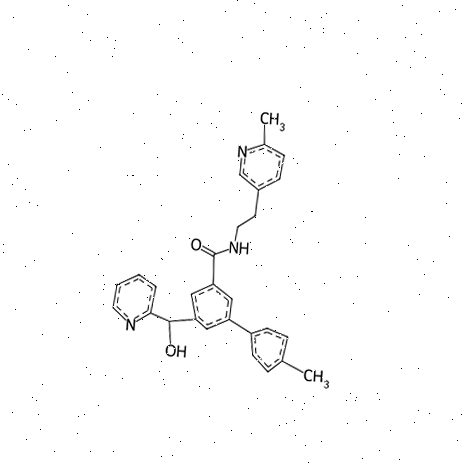 Cc1ccc(-c2cc(C(=O)NCCc3ccc(C)nc3)cc(C(O)c3ccccn3)c2)cc1